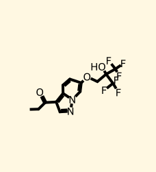 CCC(=O)c1cnn2cc(OCC(O)(C(F)(F)F)C(F)(F)F)ccc12